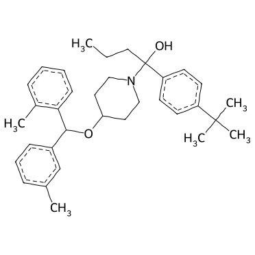 CCCC(O)(c1ccc(C(C)(C)C)cc1)N1CCC(OC(c2cccc(C)c2)c2ccccc2C)CC1